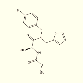 [CH2]CCC[C@H](NC(=O)OC(C)(C)C)C(=O)N(Cc1ccc(Br)cc1)Cc1cccs1